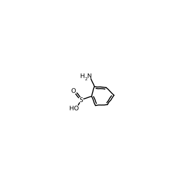 Nc1ccccc1S(=O)O